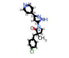 C[C@]1(Cc2ccc(Cl)cc2)CCN(c2cc(-c3ccncc3)n[nH]2)C1=O